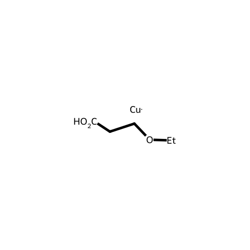 CCOCCC(=O)O.[Cu]